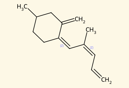 C=C/C=C(C)\C=C1\CCC(C)CC1=C